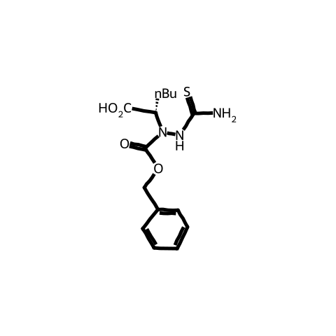 CCCC[C@@H](C(=O)O)N(NC(N)=S)C(=O)OCc1ccccc1